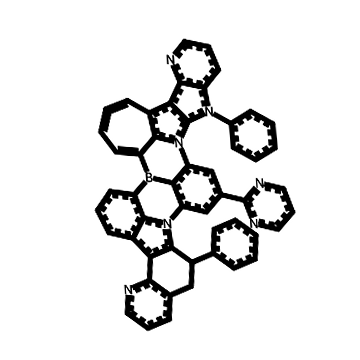 C1=CC=C2B3c4c(cc(-c5ncccn5)cc4-n4c2c(c2c5ncccc5n(-c5ccccc5)c24)C=1)-n1c2c(c4cccc3c41)-c1ncccc1CC2c1ccccc1